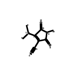 CN(C)C1=C(C#N)C(=O)N(C)C1=O